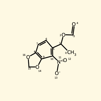 CC(O[C]=O)c1ccc2c(c1[N+](=O)[O-])OCO2